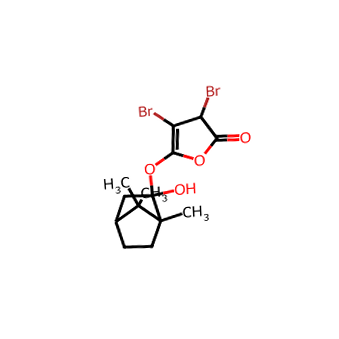 CC1(C)C2CCC1(C)C(O)(OC1=C(Br)C(Br)C(=O)O1)C2